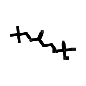 CC(C)(C)COC(=O)CCNP(O)(O)=S